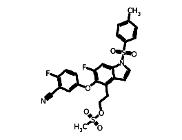 Cc1ccc(S(=O)(=O)n2ccc3c(CCOS(C)(=O)=O)c(Oc4ccc(F)c(C#N)c4)c(F)cc32)cc1